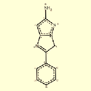 Nc1cc2n(n1)CC(c1ccccc1)=N2